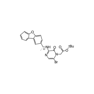 C[C@@H](Nc1ncc(Br)n(CC(=O)OC(C)(C)C)c1=O)c1ccc2oc3ccccc3c2c1